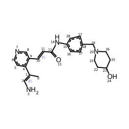 C/C(=C\N)c1ccncc1/C=C/C(=O)Nc1ccc(CN2CCC(O)CC2)cc1